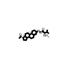 CC(=O)[C@H]1CCC2C3CCC4=C/C(=N\OC(=O)[C@@H](N)C(C)C)CC[C@]4(C)C3CC[C@@]21C